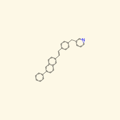 C(=C\c1ccc2cc(-c3ccccc3)ccc2c1)/c1ccc(Cc2cccnc2)cc1